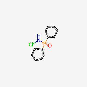 O=P(NCl)(c1ccccc1)c1ccccc1